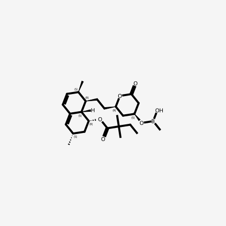 CCC(C)(C)C(=O)O[C@@H]1C[C@H](C)C=C2C=C[C@@H](C)[C@@H](CC[C@@H]3C[C@H](OB(C)O)CC(=O)O3)[C@@H]21